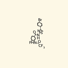 O=C(Nc1nc(-c2ccc(Br)cc2)cs1)c1ccc(F)c(NC(=O)C(F)(F)F)c1